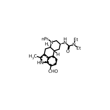 CCCN1C[C@@H](NC(=O)N(CC)CC)C[C@@H]2c3ccc(C=O)c4[nH]c(C)c(c34)C[C@H]21